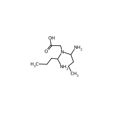 CCCC(N)N(CC(=O)O)C(N)CCC